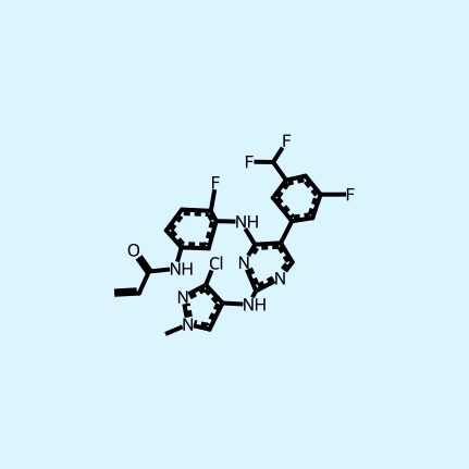 C=CC(=O)Nc1ccc(F)c(Nc2nc(Nc3cn(C)nc3Cl)ncc2-c2cc(F)cc(C(F)F)c2)c1